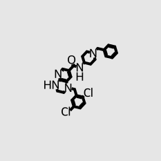 O=C(NC1CCN(Cc2ccccc2)CC1)c1cnc2c(c1)N(Cc1cc(Cl)ccc1Cl)CCN2